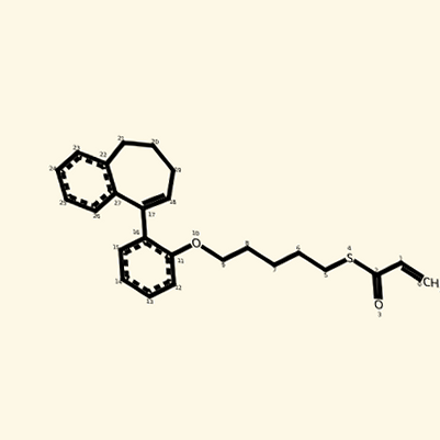 C=CC(=O)SCCCCCOc1ccccc1C1=CCCCc2ccccc21